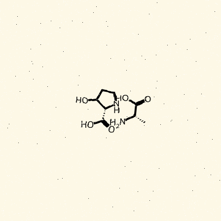 C[C@H](N)C(=O)O.O=C(O)[C@H]1NCCC1O